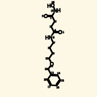 O=C(CCC(=O)NCCCCOCc1ccccc1)NO